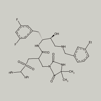 CCCC(CCC)S(=O)(=O)CC(CN1C(=O)NC(C)(C)C1=O)C(=O)N[C@H](Cc1cc(F)cc(F)c1)[C@@H](O)CNCc1cccc(CC)c1